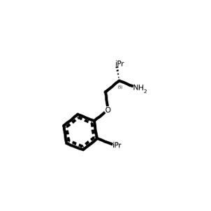 CC(C)c1ccccc1OC[C@@H](N)C(C)C